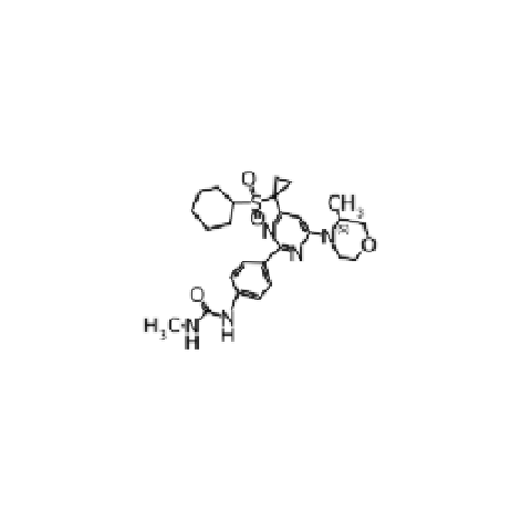 CNC(=O)Nc1ccc(-c2nc(N3CCOC[C@@H]3C)cc(C3(S(=O)(=O)C4CCCCC4)CC3)n2)cc1